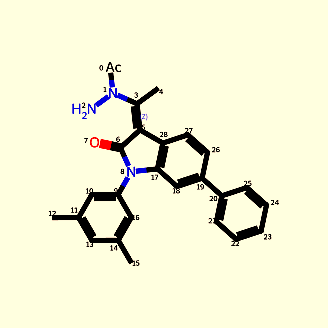 CC(=O)N(N)/C(C)=C1\C(=O)N(c2cc(C)cc(C)c2)c2cc(-c3ccccc3)ccc21